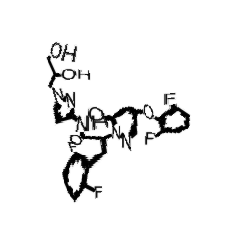 O=C(Nc1ccn(CC(O)CO)n1)C(Cc1c(F)cccc1F)n1ncc(Oc2c(F)cccc2F)cc1=O